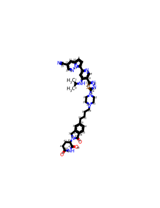 CC(C)Nc1cc(-c2ccc3cc(C#N)cnn23)ncc1-c1nnc(N2CCN(CCCCc3ccc4c(c3)CN(C3CCC(=O)NC3=O)C4=O)CC2)s1